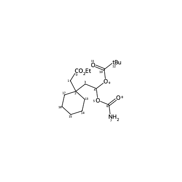 CCOC(=O)CC1(CC(OC(N)=O)OC(=O)C(C)(C)C)CCCCC1